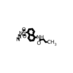 CCCC(=O)Nc1cccc2c(S(=O)(=O)N=[N+]=[N-])cccc12